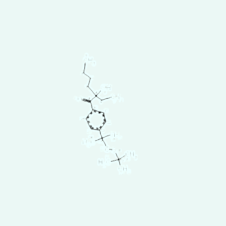 CCCCC(O)(CC)C(=O)c1ccc(C(C)(C)OOC(C)(C)C)cc1